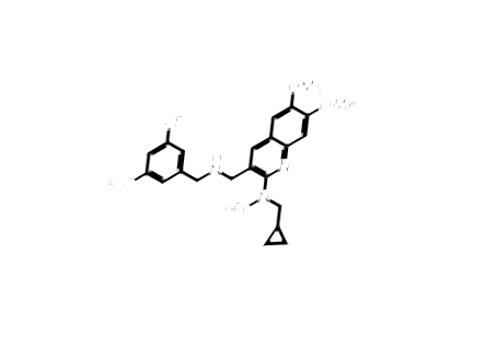 CCCN(CC1CC1)c1nc2cc(OC)c(OC)cc2cc1CNCc1cc(C(F)(F)F)cc(C(F)(F)F)c1